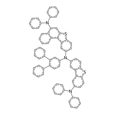 c1ccc(-c2ccc(N(c3ccc4sc5ccc(N(c6ccccc6)c6ccccc6)cc5c4c3)c3ccc4sc5cc(N(c6ccccc6)c6ccccc6)c6ccccc6c5c4c3)cc2-c2ccccc2)cc1